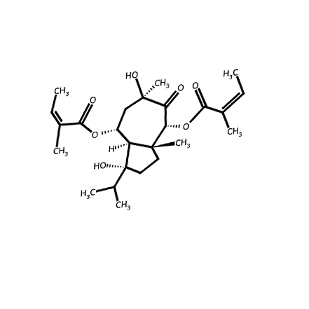 C/C=C(/C)C(=O)O[C@@H]1C[C@@](C)(O)C(=O)[C@H](OC(=O)/C(C)=C\C)[C@]2(C)CC[C@@](O)(C(C)C)[C@@H]12